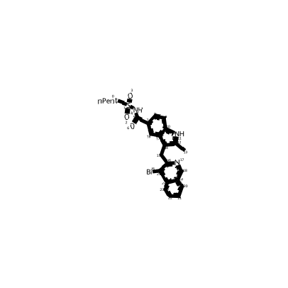 CCCCCS(=O)(=O)NC(=O)c1ccc2[nH]c(C)c(Cc3ncc4ccccc4c3Br)c2c1